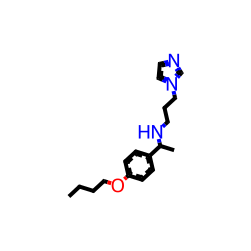 CCCCOc1ccc(C(C)NCCCn2ccnc2)cc1